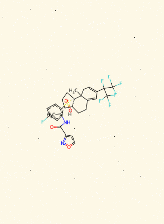 CC(NC(=O)c1ccon1)[C@@H]1CC[C@]2(S(=O)(=O)c3ccc(F)cc3)[C@H]1CCC1=CC(C(F)(C(F)(F)F)C(F)(F)F)=CCC12C